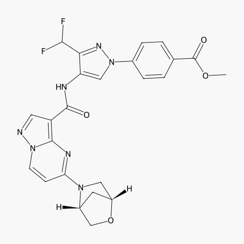 COC(=O)c1ccc(-n2cc(NC(=O)c3cnn4ccc(N5C[C@H]6C[C@@H]5CO6)nc34)c(C(F)F)n2)cc1